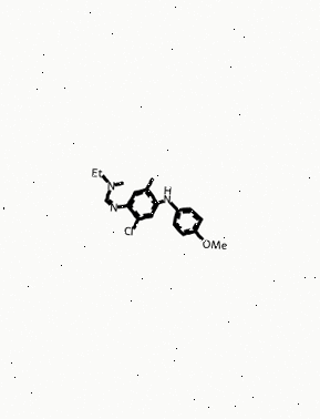 CCN(C)/C=N\c1cc(C)c(Nc2ccc(OC)cc2)cc1Cl